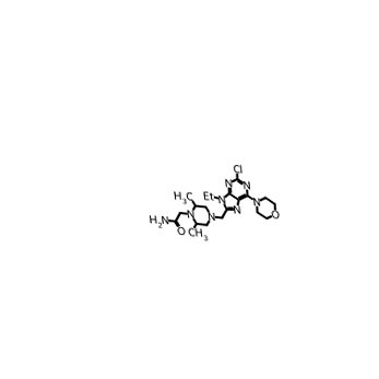 CCn1c(CN2CC(C)N(CC(N)=O)C(C)C2)nc2c(N3CCOCC3)nc(Cl)nc21